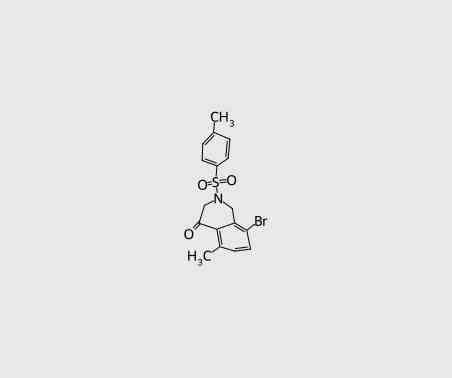 Cc1ccc(S(=O)(=O)N2CC(=O)c3c(C)ccc(Br)c3C2)cc1